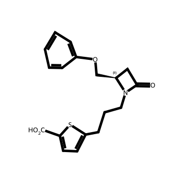 O=C(O)c1ccc(CCCN2C(=O)C[C@@H]2COc2ccccc2)s1